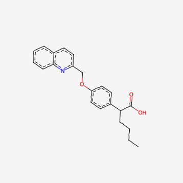 CCCCC(C(=O)O)c1ccc(OCc2ccc3ccccc3n2)cc1